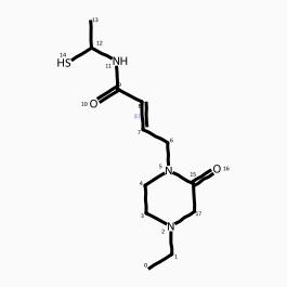 CCN1CCN(C/C=C/C(=O)NC(C)S)C(=O)C1